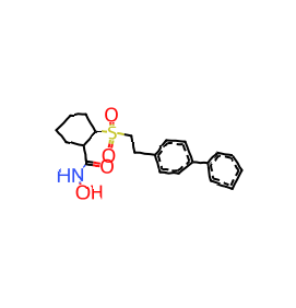 O=C(NO)C1CCCCC1S(=O)(=O)CCc1ccc(-c2ccccc2)cc1